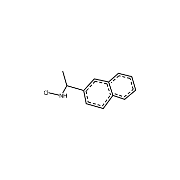 CC(NCl)c1ccc2ccccc2c1